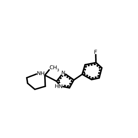 CC1(c2nc(-c3cccc(F)c3)c[nH]2)CCCCN1